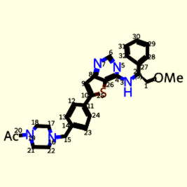 COC[C@@H](Nc1ncnc2cc(-c3ccc(CN4CCN(C(C)=O)CC4)cc3)sc12)c1ccccc1